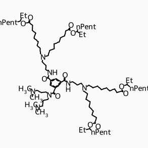 CCCCCC(CC)OC(=O)CCCCCCCCN(CCCCCCCCC(=O)OC(CC)CCCCC)CCCNC(=O)c1cc(C(=O)NCCCN(CCCCCCCCC(=O)OC(CC)CCCCC)CCCCCCCCC(=O)OC(CC)CCCCC)cc(C(=O)N(CCCN(C)C)CCCN(C)C)c1